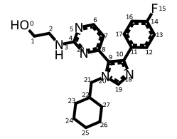 OCCNc1nccc(-c2c(-c3ccc(F)cc3)ncn2CC2CCCCC2)n1